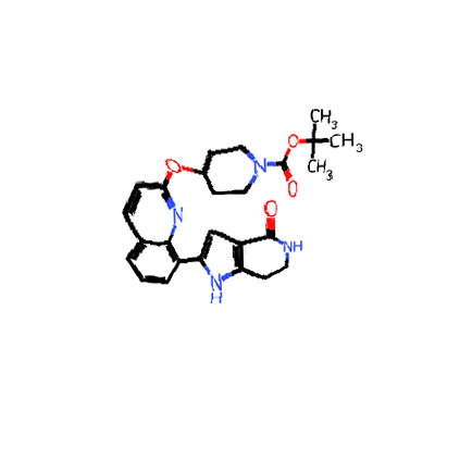 CC(C)(C)OC(=O)N1CCC(Oc2ccc3cccc(-c4cc5c([nH]4)CCNC5=O)c3n2)CC1